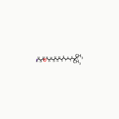 CCC(C)CCCCCCCCCCCCCOCCCI